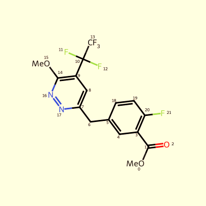 COC(=O)c1cc(Cc2cc(C(F)(F)C(F)(F)F)c(OC)nn2)ccc1F